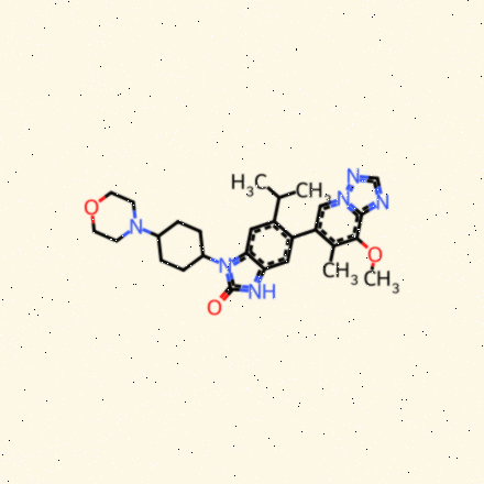 COc1c(C)c(-c2cc3[nH]c(=O)n(C4CCC(N5CCOCC5)CC4)c3cc2C(C)C)cn2ncnc12